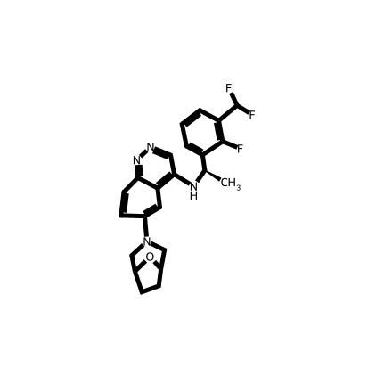 C[C@@H](Nc1cnnc2ccc(N3CC4CCC(C3)O4)cc12)c1cccc(C(F)F)c1F